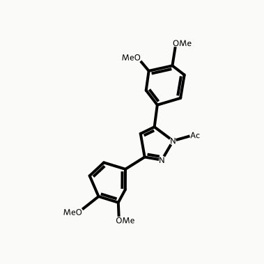 COc1ccc(-c2cc(-c3ccc(OC)c(OC)c3)n(C(C)=O)n2)cc1OC